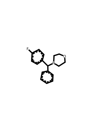 Fc1ccc(C(c2ccccc2)N2CCOCC2)cc1